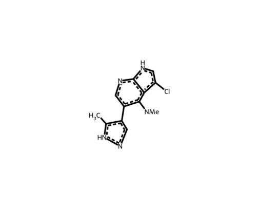 CNc1c(-c2cn[nH]c2C)cnc2[nH]cc(Cl)c12